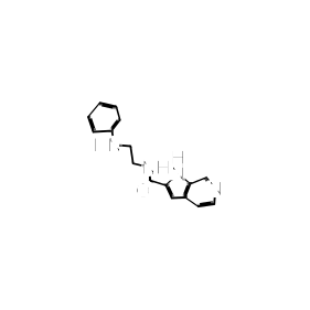 O=C(NCCNc1ccccc1)c1cc2ccncc2[nH]1